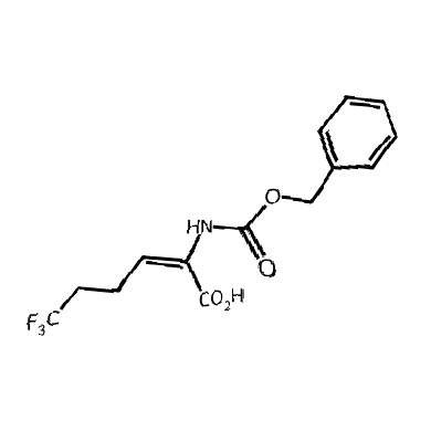 O=C(N/C(=C/CCC(F)(F)F)C(=O)O)OCc1ccccc1